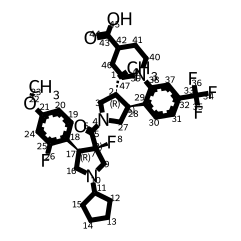 CC[C@H]1CN(C(=O)[C@]2(F)CN(C3CCCC3)C[C@H]2c2ccc(OC)cc2F)C[C@@H]1c1ccc(C(F)(F)F)cc1N1CCC(C(=O)O)CC1